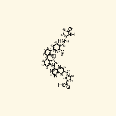 COc1nc(-c2cccc(-c3cccc4c3CCN4c3ncnc4cc(CN5CCC(C(=O)O)C5)cnc34)c2Cl)ccc1CNCC1CCC(=O)N1